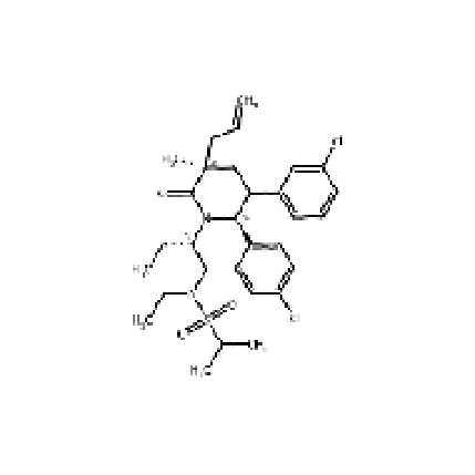 C=CC[C@@]1(C)CC(c2cccc(Cl)c2)[C@@H](c2ccc(Cl)cc2)N([C@@H](CC)CN(CC)S(=O)(=O)C(C)C)C1=O